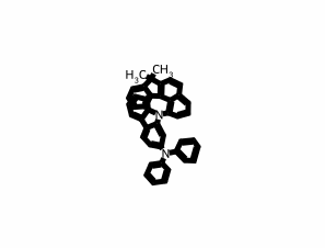 CC1(C)c2ccccc2-c2c1ccc1cccc(-n3c4ccccc4c4ccc(N(c5ccccc5)c5ccccc5)cc43)c21